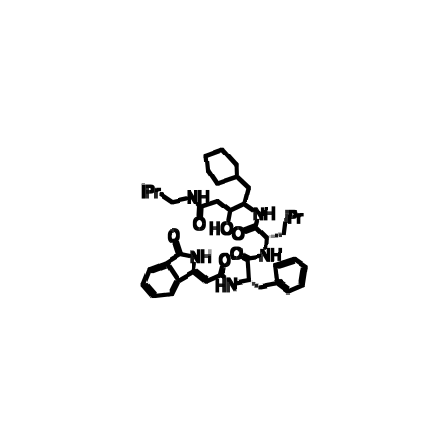 CC(C)CNC(=O)CC(O)C(CC1CCCCC1)NC(=O)[C@H](CC(C)C)NC(=O)[C@H](Cc1ccccc1)NC(=O)/C=C1\NC(=O)c2ccccc21